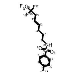 Cc1ccc(S(=O)(=O)NCCCC=CCC(F)(F)C(F)(F)F)cc1